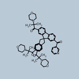 CC(C)(C(=O)c1ccc(CC2(Cc3ccc(C(=O)C(C)(C)N4CCOCC4)cc3)c3cc(C(=O)c4cccnc4)ccc3-c3ccc(C(=O)C(C)(C)N4CCOCC4)cc32)cc1)N1CCOCC1